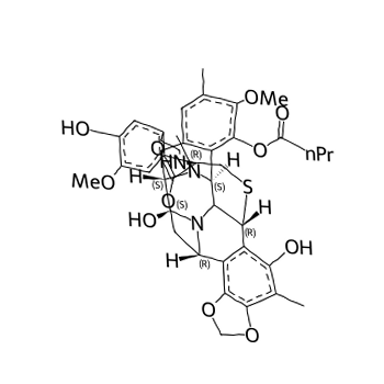 CCCC(=O)Oc1c(OC)c(C)cc2c1[C@H]1C3[C@@H]4SC[C@]5(NCCc6cc(O)c(OC)cc65)C(=O)OC[C@@H](c5c6c(c(C)c(O)c54)OCO6)N3[C@@H](O)[C@H](C2)N1C